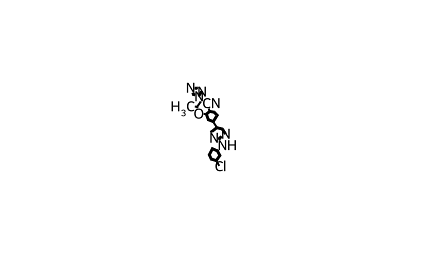 CC(Cn1cncn1)Oc1cc(-c2cnc(Nc3cccc(Cl)c3)nc2)ccc1C#N